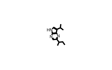 CCC(C)c1cnc2[nH]cc(C(C)C)c2n1